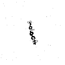 COC(=O)CC[C@H]1CC[C@H](NCc2ccc(C3CCN(C(=O)OC(C)(C)C)CC3)cc2)CC1